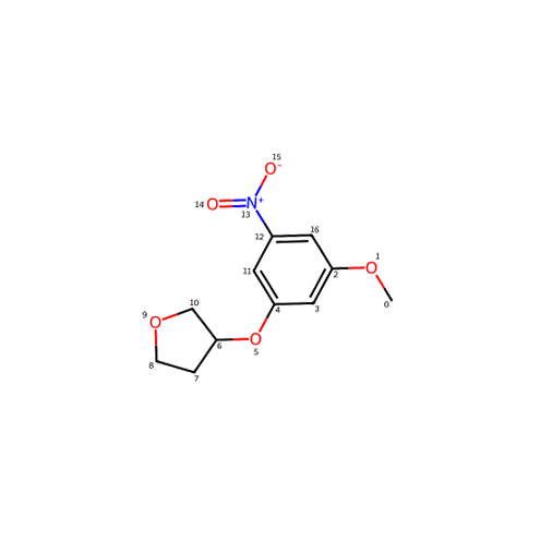 COc1cc(OC2CCOC2)cc([N+](=O)[O-])c1